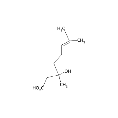 CC(C)=CCCC(C)(O)CC(=O)O